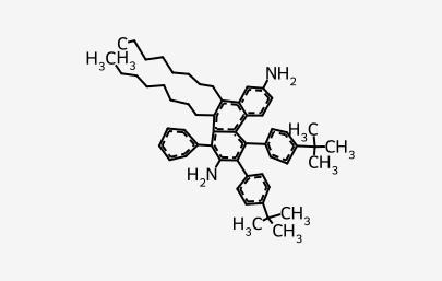 CCCCCCCCc1c(CCCCCCCC)c2c(-c3ccccc3)c(N)c(-c3ccc(C(C)(C)C)cc3)c(-c3ccc(C(C)(C)C)cc3)c2c2ccc(N)cc12